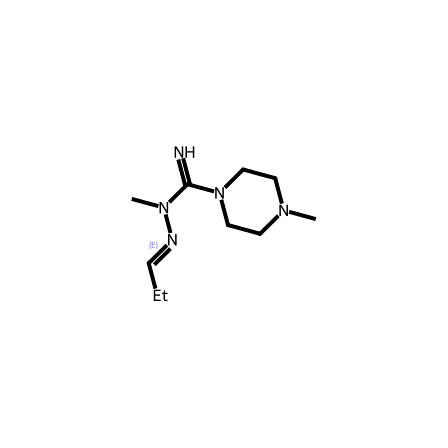 CC/C=N/N(C)C(=N)N1CCN(C)CC1